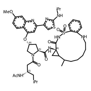 COc1ccc2c(O[C@@H]3C[C@@H](C(=O)N[C@]45CC4C(C)CCCCCNc4ccccc4S(=O)(=O)NC5=O)N(C(=O)C[C@H](CC(C)C)NC(C)=O)C3)cc(-c3csc(NC(C)C)n3)nc2c1